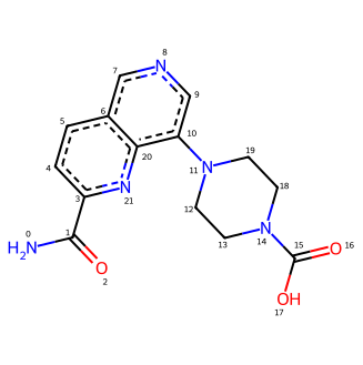 NC(=O)c1ccc2cncc(N3CCN(C(=O)O)CC3)c2n1